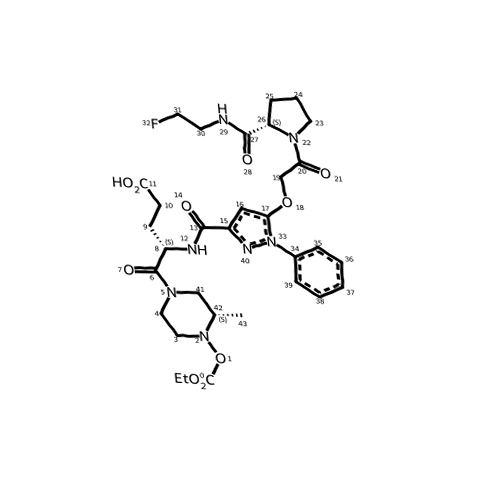 CCOC(=O)ON1CCN(C(=O)[C@H](CCC(=O)O)NC(=O)c2cc(OCC(=O)N3CCC[C@H]3C(=O)NCCF)n(-c3ccccc3)n2)C[C@@H]1C